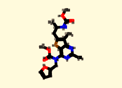 Cc1nc(N(Cc2ccco2)C(=O)OC(C)(C)C)c2sc(CC(C)NC(=O)OC(C)(C)C)c(C)c2n1